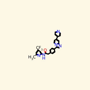 Cc1cc(C(F)(F)F)cc(NC(=O)Cc2ccc(-c3cnc4cc(-c5ccncc5)ccn34)cc2)n1